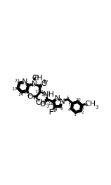 Cc1cccc(Cn2cc(F)c(C(=O)N[C@@H]3C(=O)N(C)c4ncccc4O[C@@H]3C)n2)c1